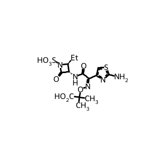 CC[C@H]1[C@H](NC(=O)C(=NOC(C)(C)C(=O)O)c2csc(N)n2)C(=O)N1S(=O)(=O)O